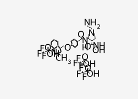 Cc1cc(COc2ccc(C(=O)N[C@@H]3CN(CCN)CC[C@@H]3C(=O)NO)cc2)c2ccccc2n1.O=C(O)C(F)(F)F.O=C(O)C(F)(F)F.O=C(O)C(F)(F)F